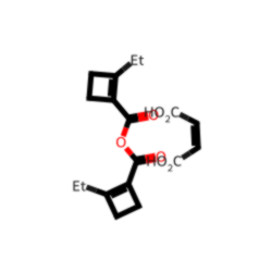 CCC1=C(C(=O)OC(=O)C2=C(CC)CC2)CC1.O=C(O)/C=C\C(=O)O